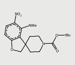 CNc1c([N+](=O)[O-])ccc2c1C1(CCN(C(=O)OC(C)(C)C)CC1)CO2